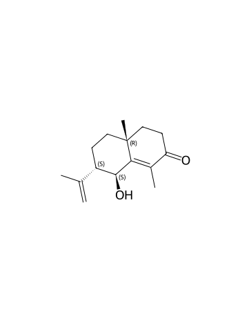 C=C(C)[C@@H]1CC[C@]2(C)CCC(=O)C(C)=C2[C@H]1O